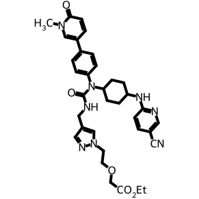 CCOC(=O)COCCn1cc(CNC(=O)N(c2ccc(-c3ccc(=O)n(C)c3)cc2)C2CCC(Nc3ccc(C#N)cn3)CC2)cn1